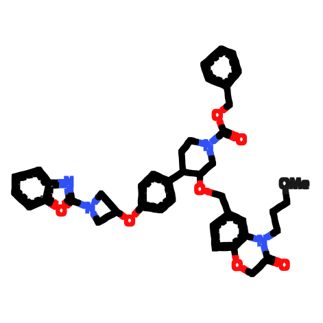 COCCCN1C(=O)COc2ccc(COC3CN(C(=O)OCc4ccccc4)CCC3c3ccc(OC4CN(c5nc6ccccc6o5)C4)cc3)cc21